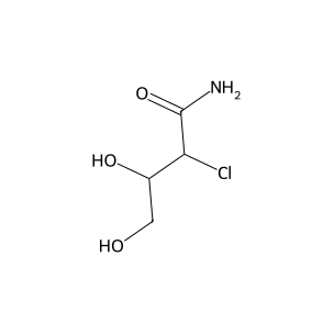 NC(=O)C(Cl)C(O)CO